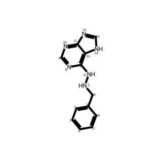 c1ccc(CNNc2ncnc3nc[nH]c23)cc1